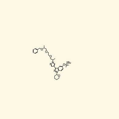 CC(COCCOCC(C)n1cc(-c2nn(C3CCCCO3)c3ccc(O[Si](C)(C)C(C)(C)C)cc23)cn1)OCc1ccccc1